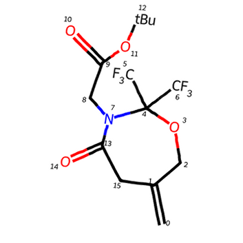 C=C1COC(C(F)(F)F)(C(F)(F)F)N(CC(=O)OC(C)(C)C)C(=O)C1